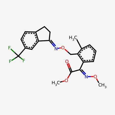 CO/N=C(/C(=O)OC)c1cccc(C)c1CO/N=C1\CCc2ccc(C(F)(F)F)cc21